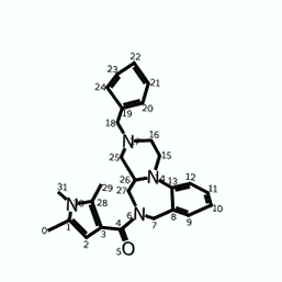 Cc1cc(C(=O)N2Cc3ccccc3N3CCN(Cc4ccccc4)CC3C2)c(C)n1C